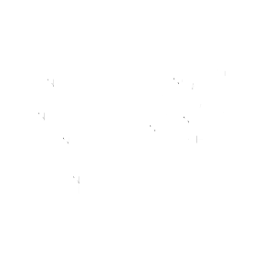 CN(C(=O)OC(C)(C)C)c1ncc(-c2ccc3ncnc(N4CCNCC4)c3c2)cc1[N+](=O)[O-]